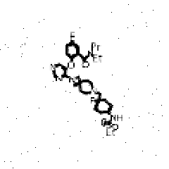 CCN(C(=O)c1cc(F)ccc1Oc1cncnc1N1CC2(CCN(CC3(F)CCC(NS(=O)(=O)CC)CC3)CC2)C1)C(C)C